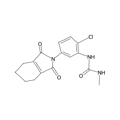 CNC(=O)Nc1cc(N2C(=O)C3=C(CCCC3)C2=O)ccc1Cl